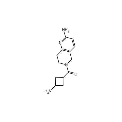 Nc1ccc2c(n1)CCN(C(=O)C1CC(N)C1)C2